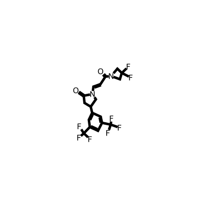 O=C1CC(c2cc(C(F)(F)F)cc(C(F)(F)F)c2)CN1C=CC(=O)N1CC(F)(F)C1